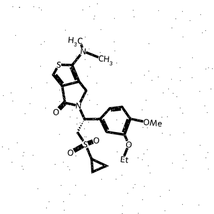 CCOc1cc([C@H](CS(=O)(=O)C2CC2)N2Cc3c(csc3N(C)C)C2=O)ccc1OC